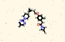 Cc1cnc(N2CCC([C@H]3C[C@H]3CCOc3ccc(CC(=O)N4CC(C)C4)c(F)c3)CC2)nc1